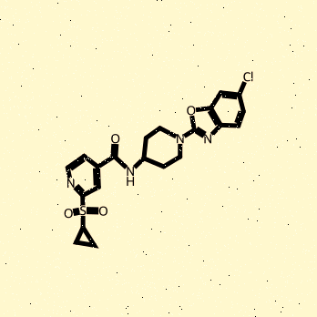 O=C(NC1CCN(c2nc3ccc(Cl)cc3o2)CC1)c1ccnc(S(=O)(=O)C2CC2)c1